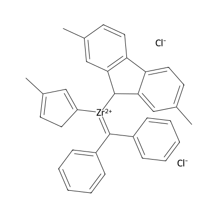 CC1=CC[C]([Zr+2](=[C](c2ccccc2)c2ccccc2)[CH]2c3cc(C)ccc3-c3ccc(C)cc32)=C1.[Cl-].[Cl-]